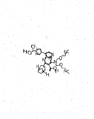 C=C(OCC)c1c([C@H]2C[C@@H]3CC[C@@H](C3)C2)nc2c(-c3ccc(C(O)C(F)(F)F)nc3)cnn2c1N(COCC[Si](C)(C)C)COCC[Si](C)(C)C